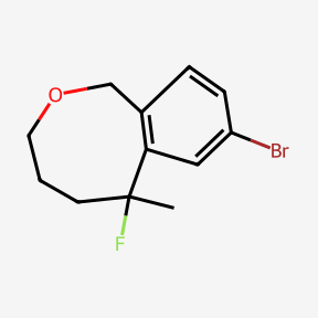 CC1(F)CCCOCc2ccc(Br)cc21